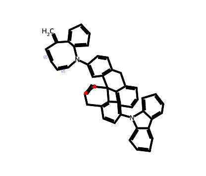 C=C1/C=C\C=C/N(c2ccc3c(c2)C2(c4ccccc4C3)c3ccccc3Cc3ccc(-n4c5ccccc5c5ccccc54)cc32)c2ccccc21